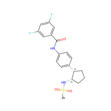 CC(C)S(=O)(=O)N[C@H]1CCC[C@H]1c1ccc(NC(=O)c2cc(F)cc(F)c2)cc1